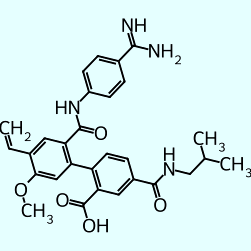 C=Cc1cc(C(=O)Nc2ccc(C(=N)N)cc2)c(-c2ccc(C(=O)NCC(C)C)cc2C(=O)O)cc1OC